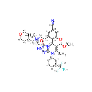 COC(=O)C1=C(C)N(c2cccc(C(F)(F)F)c2)c2n[nH]c(=O)n2C1c1ccc(C#N)cc1CC[N+](C)(C)CC1CCOCC1